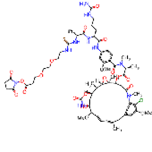 COc1cc(NC(=O)[C@H](CCCNC(N)=O)NC(=O)[C@@H](NC(=S)NCCOCCOCCC(=O)ON2C(=O)CCC2=O)C(C)C)ccc1C(=O)N(C)[C@@H](C)C(=O)O[C@H]1CC(=O)N(C)c2cc(cc(OC)c2Cl)C/C(C)=C/C=C/[C@@H](OC)[C@@]2(O)C[C@H](OC(=O)N2)[C@@H](C)[C@@H]2O[C@@]12C